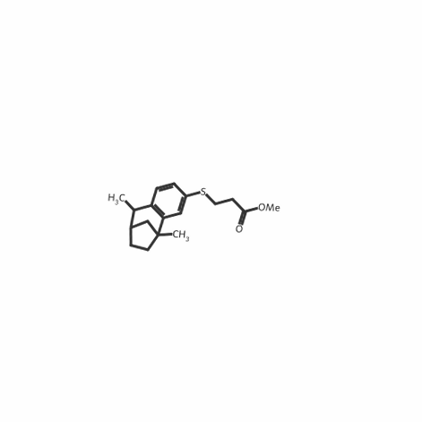 COC(=O)CCSc1ccc2c(c1)C1(C)CCC(C1)C2C